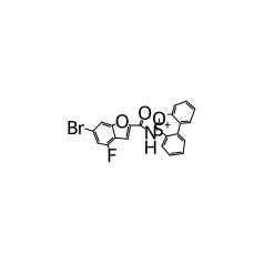 O=C(N[S+]([O-])c1ccccc1-c1ccccc1)c1cc2c(F)cc(Br)cc2o1